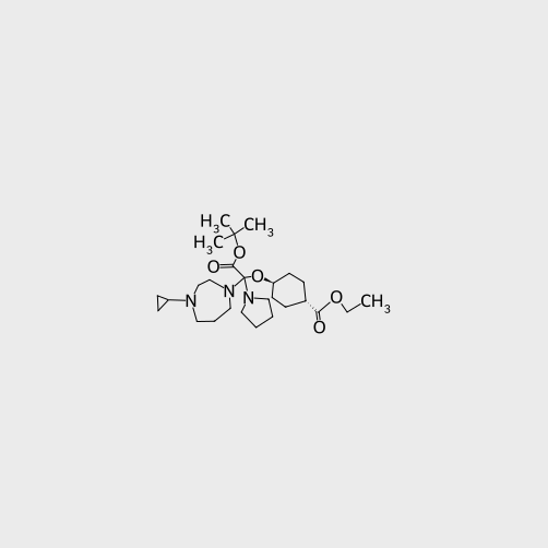 CCOC(=O)[C@H]1CC[C@H](OC(C(=O)OC(C)(C)C)(N2CCCC2)N2CCCN(C3CC3)CC2)CC1